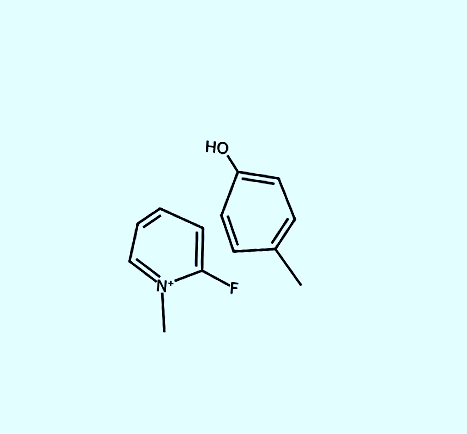 C[n+]1ccccc1F.Cc1ccc(O)cc1